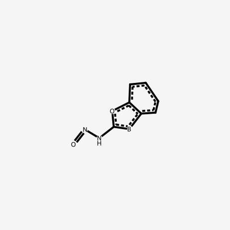 O=NNc1bc2ccccc2o1